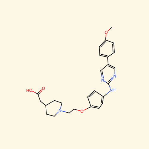 COc1ccc(-c2cnc(Nc3ccc(OCCN4CCC(CC(=O)O)CC4)cc3)nc2)cc1